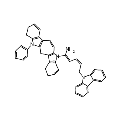 N/C(=C\C=C/Cn1c2ccccc2c2ccccc21)n1c2c(c3c1C=Cc1c4c(n(-c5ccccc5)c1C3)CCC=C4)CCC=C2